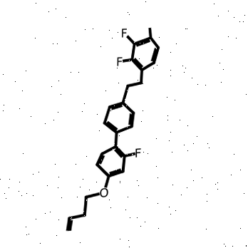 C=CCCOc1ccc(-c2ccc(CCc3ccc(C)c(F)c3F)cc2)c(F)c1